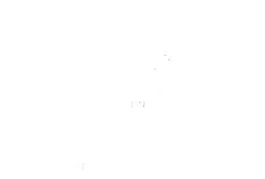 Clc1ccc(CNC2C3CCN(CC3)C2C(c2ccccc2)c2ccccc2)cc1